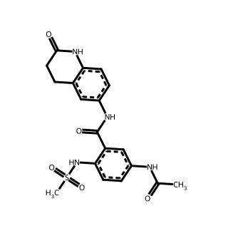 CC(=O)Nc1ccc(NS(C)(=O)=O)c(C(=O)Nc2ccc3c(c2)CCC(=O)N3)c1